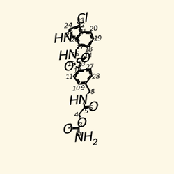 NC(=O)OCC(=O)NCc1ccc(S(=O)(=O)Nc2cccc3c(Cl)c[nH]c23)cc1